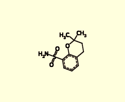 CC1(C)CCc2cccc(S(N)(=O)=O)c2O1